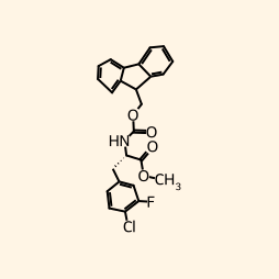 COC(=O)[C@H](Cc1ccc(Cl)c(F)c1)NC(=O)OCC1c2ccccc2-c2ccccc21